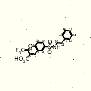 O=C(O)C1=Cc2cc(S(=O)(=O)NCCc3ccccc3)ccc2OC1C(F)(F)F